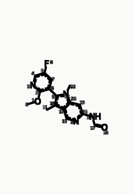 COc1ncc(F)cc1-c1c(C)c2cnc(NC=O)cc2n1C